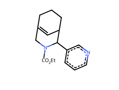 CCOC(=O)N1CC2=CC(CCC2)C1c1cccnc1